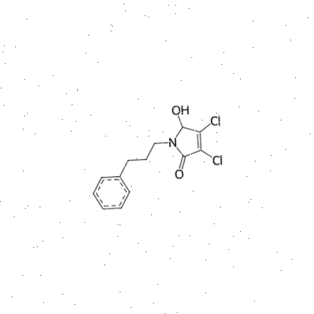 O=C1C(Cl)=C(Cl)C(O)N1CCCc1ccccc1